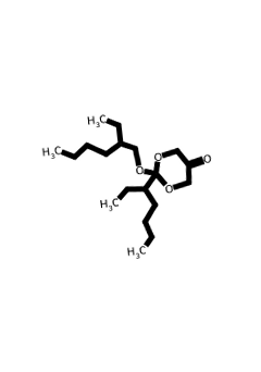 CCCCC(CC)COC1(C(CC)CCCC)OCC(=O)CO1